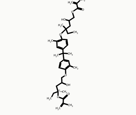 C=C(C)C(=O)OCC(O)CC(C)(CC)Oc1ccc(C(C)(C)c2ccc(OCC(O)C[C@](C)(CC)OC(=O)C(=C)C)c(C)c2)cc1C